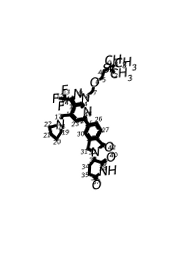 C[Si](C)(C)CCOCn1nc(C(F)(F)F)c2c(CN3CCCC3)cc(-c3ccc4c(c3)CN(C3CCC(=O)NC3=O)C4=O)nc21